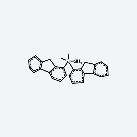 [CH3][Zr]([CH3])([SiH3])([c]1cccc2c1Cc1ccccc1-2)[c]1cccc2c1Cc1ccccc1-2